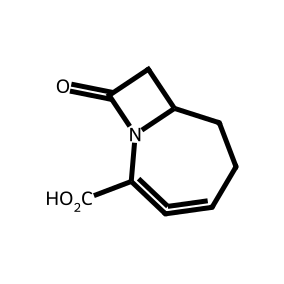 O=C(O)C1=C=CCCC2CC(=O)N12